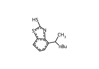 CCCCC(C)c1cccc2sc(S)nc12